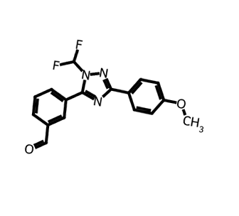 COc1ccc(-c2nc(-c3cccc(C=O)c3)n(C(F)F)n2)cc1